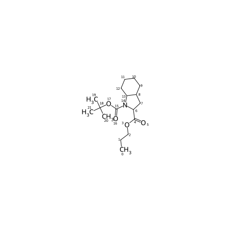 CCCOC(=O)C1CC2CCCCC2N1C(=O)OC(C)(C)C